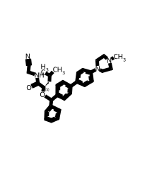 CC(C)C[C@H](OC(c1ccccc1)c1ccc(-c2ccc(N3CCN(C)CC3)cc2)cc1)C(=O)NCC#N